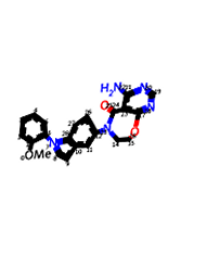 COc1ccccc1-n1ccc2cc(N3CCOc4ncnc(N)c4C3=O)ccc21